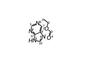 CCOC=O.c1ncc2nc[nH]c2n1